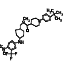 CN(CC1CCC(Nc2ccc([N+](=O)[O-])c(C(F)(F)F)c2)CC1)C(=O)C1CCN(c2ccc(C(C)(C)C)cc2)CC1